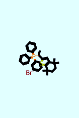 CC(c1cc2c(s1)C(C)(C)CCC2(C)C)[P+](c1ccccc1)(c1ccccc1)c1ccccc1.[Br-]